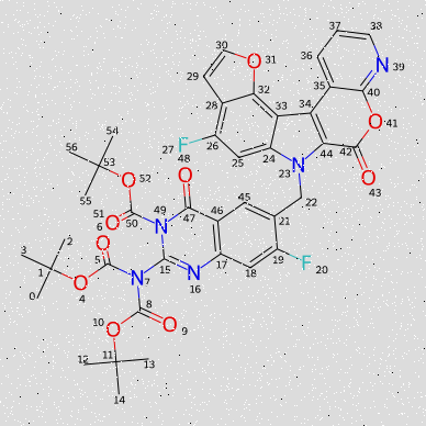 CC(C)(C)OC(=O)N(C(=O)OC(C)(C)C)c1nc2cc(F)c(Cn3c4cc(F)c5ccoc5c4c4c5cccnc5oc(=O)c43)cc2c(=O)n1C(=O)OC(C)(C)C